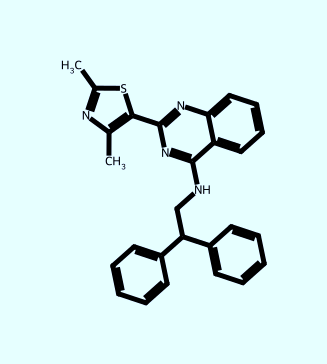 Cc1nc(C)c(-c2nc(NCC(c3ccccc3)c3ccccc3)c3ccccc3n2)s1